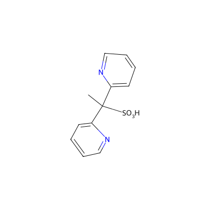 CC(c1ccccn1)(c1ccccn1)S(=O)(=O)O